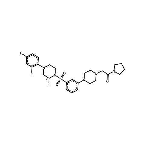 C[C@@H]1CN(c2ccc(F)cc2Cl)CCN1S(=O)(=O)c1cccc(N2CCN(CC(=O)N3CCCC3)CC2)c1